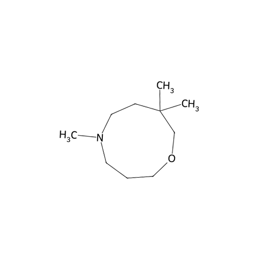 CN1CCCOCC(C)(C)CC1